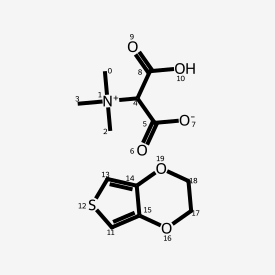 C[N+](C)(C)C(C(=O)[O-])C(=O)O.c1scc2c1OCCO2